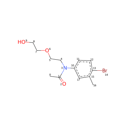 CC(=O)N(CCOCCO)c1ccc(Br)c(C)c1